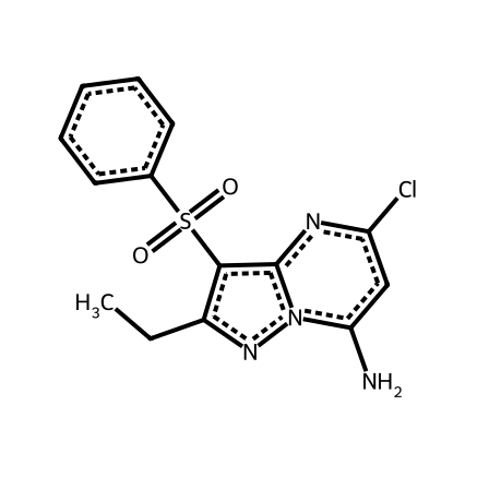 CCc1nn2c(N)cc(Cl)nc2c1S(=O)(=O)c1ccccc1